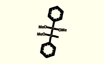 CO[Si](C)(c1ccccc1)[Si](OC)(OC)c1ccccc1